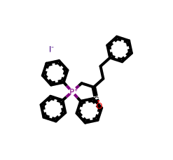 O=C=C(CCc1ccccc1)C[P+](c1ccccc1)(c1ccccc1)c1ccccc1.[I-]